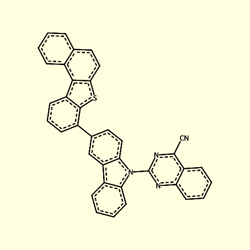 N#Cc1nc(-n2c3ccccc3c3cc(-c4cccc5c4sc4ccc6ccccc6c45)ccc32)nc2ccccc12